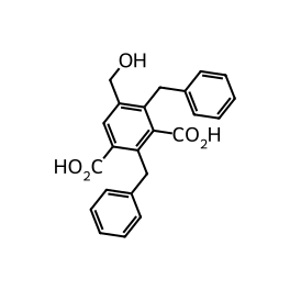 O=C(O)c1cc(CO)c(Cc2ccccc2)c(C(=O)O)c1Cc1ccccc1